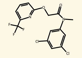 CN(C(=O)COc1cccc(C(F)(F)F)n1)c1cc(Cl)cc(Cl)c1